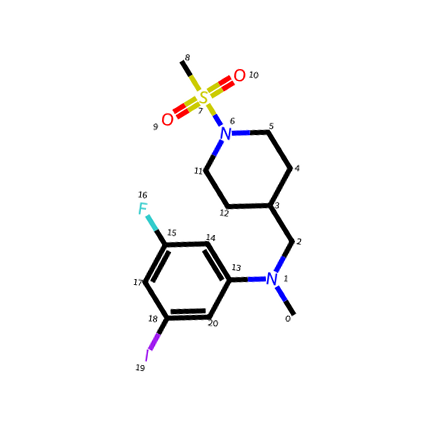 CN(CC1CCN(S(C)(=O)=O)CC1)c1cc(F)cc(I)c1